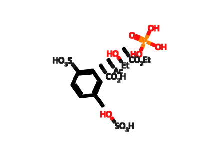 CC(=O)O.CC(C)=O.CCO.CCOC(C)=O.Cc1ccc(S(=O)(=O)O)cc1.O=P(O)(O)O.O=S(=O)(O)O